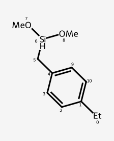 CCc1ccc(C[SiH](OC)OC)cc1